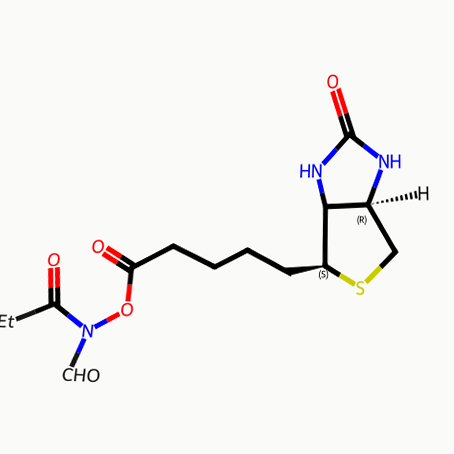 CCC(=O)N(C=O)OC(=O)CCCC[C@@H]1SC[C@@H]2NC(=O)NC21